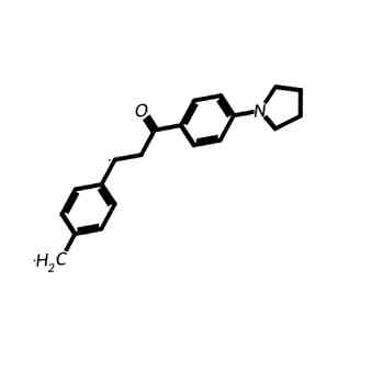 [CH2]c1ccc([CH]CC(=O)c2ccc(N3CCCC3)cc2)cc1